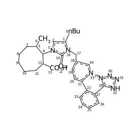 CCCCc1cn(C2C(C)CCCCCC2C(=O)O)c(=O)n1Cc1ccc(-c2ccccc2-c2nnn[nH]2)nc1